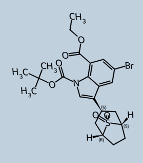 CCOC(=O)c1cc(Br)cc2c([C@@H]3C[C@H]4CC[C@@H](C3)S4(=O)=O)cn(C(=O)OC(C)(C)C)c12